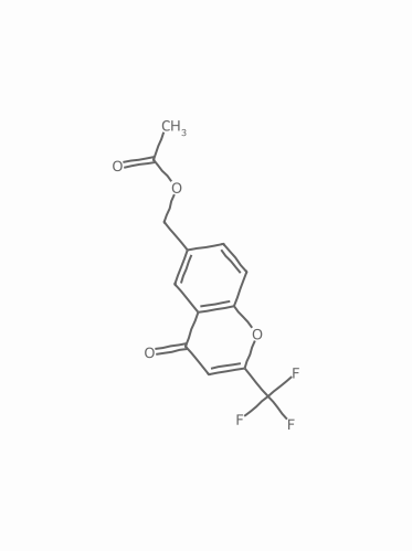 CC(=O)OCc1ccc2oc(C(F)(F)F)cc(=O)c2c1